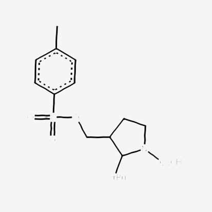 Cc1ccc(S(=O)(=O)OCC2CCN(C(=O)O)C2C(C)(C)C)cc1